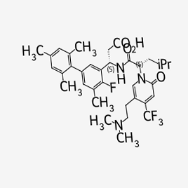 Cc1cc(C)c(-c2cc(C)c(F)c([C@H](CC(=O)O)NC(=O)[C@H](CC(C)C)n3cc(CCN(C)C)c(C(F)(F)F)cc3=O)c2)c(C)c1